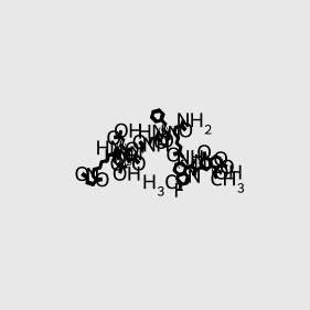 CC[C@@]1(O)C(=O)OCc2c1cc1n(c2=O)Cc2c-1nc1cc(F)c(C)c3c1c2[C@@H](NC(=O)CCCN(CC(N)=O)C(=O)[C@H](Cc1ccccc1)NC(=O)CNC(=O)CNC(=O)[C@H](CC(=O)O)NC(=O)[C@H](CC(=O)O)NC(=O)CCCCCN1C(=O)C=CC1=O)CC3